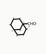 O=[C]C12CCCC(CCC1)C2